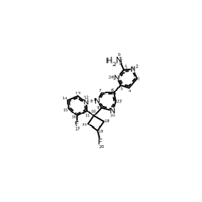 Nc1nccc(-c2cnc(C3(c4ncccc4F)CC(F)C3)nc2)n1